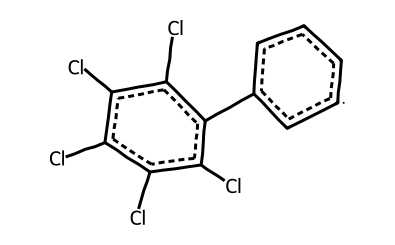 Clc1c(Cl)c(Cl)c(-c2c[c]ccc2)c(Cl)c1Cl